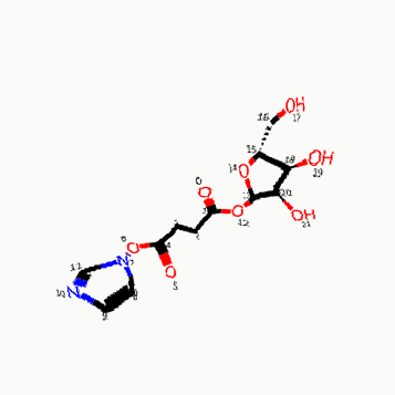 O=C(CCC(=O)On1ccnc1)OC1O[C@H](CO)[C@@H](O)[C@H]1O